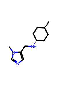 Cn1cncc1CN[C@H]1CC[C@H](C)CC1